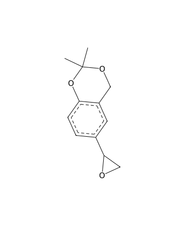 CC1(C)OCc2cc(C3CO3)ccc2O1